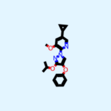 COc1cc(C2CC2)cnc1-n1cc(Oc2ccccc2)c(OC(C)C)n1